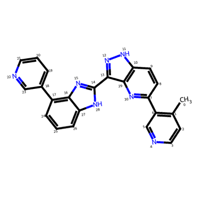 Cc1ccncc1-c1ccc2[nH]nc(-c3nc4c(-c5cccnc5)cccc4[nH]3)c2n1